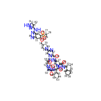 Cc1[nH]nc(Nc2ncnc3cc(OCC4CCN(c5cnc(C(=O)N[C@H]6C[C@@H](C(=O)N[C@@H]7CCCc8ccccc87)N(C(=O)[C@@H](NC(=O)[C@H](C)N(C)C(=O)OC(C)(C)C)C7CCCCC7)C6)cn5)CC4)c(S(=O)(=O)C(C)(C)C)cc23)c1C